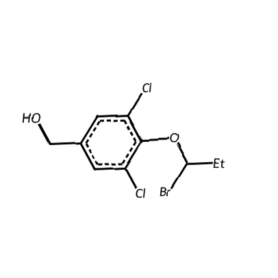 CCC(Br)Oc1c(Cl)cc(CO)cc1Cl